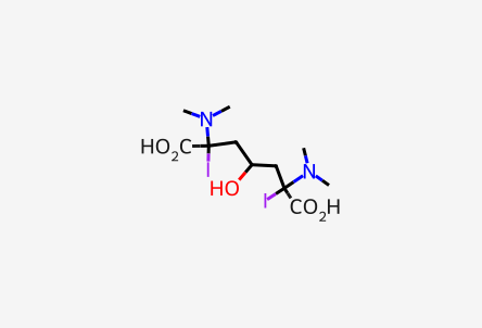 CN(C)C(I)(CC(O)CC(I)(C(=O)O)N(C)C)C(=O)O